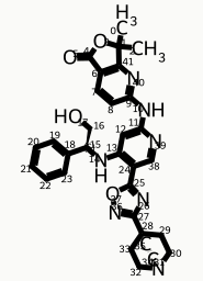 CC1(C)OC(=O)c2ccc(Nc3cc(N[C@H](CO)c4ccccc4)c(-c4nc(C56CCN(CC5)CC6)no4)cn3)nc21